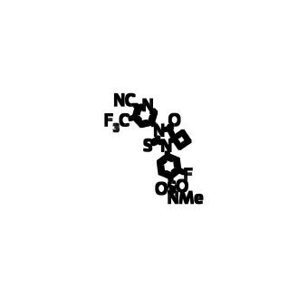 CNS(=O)(=O)c1ccc(N2C(=S)N(c3cnc(C#N)c(C(F)(F)F)c3)C(=O)C23CCC3)cc1F